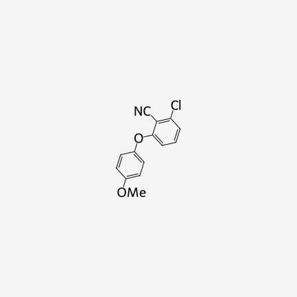 COc1ccc(Oc2cccc(Cl)c2C#N)cc1